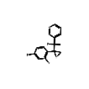 Fc1ccc(C2(C(F)(F)c3cccnc3)CO2)c(F)c1